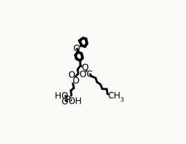 CCCCCCCCCC(=O)OC(CCC(=O)OCCCCP(=O)(O)O)c1ccc(Oc2ccccc2)cc1